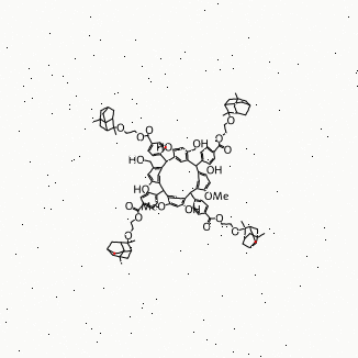 COc1cc(O)c2cc1C(c1ccc(C(=O)OCCOC3(C)C4CC5CC3CC(C)(C5)C4)cc1)c1cc(c(OC)cc1O)C(c1ccc(C(=O)OCCOC3(C)C4CC5CC3CC(C)(C5)C4)cc1)c1cc(c(CO)cc1O)C(c1ccc(C(=O)OCCOC3(C)C4CC5CC3CC(C)(C5)C4)cc1)c1cc(c(CO)cc1O)C2c1ccc(C(=O)OCCOC2(C)C3CC4CC2CC(C)(C4)C3)cc1